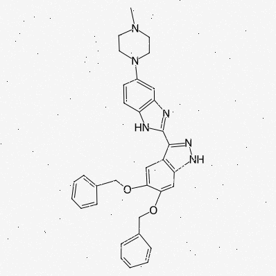 CN1CCN(c2ccc3[nH]c(-c4n[nH]c5cc(OCc6ccccc6)c(OCc6ccccc6)cc45)nc3c2)CC1